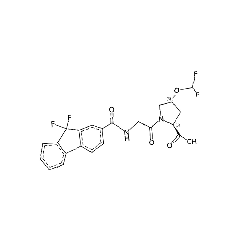 O=C(NCC(=O)N1C[C@H](OC(F)F)C[C@H]1C(=O)O)c1ccc2c(c1)C(F)(F)c1ccccc1-2